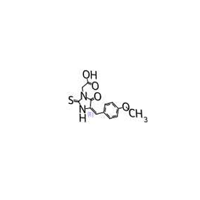 COc1ccc(/C=C2/NC(=S)N(CC(=O)O)C2=O)cc1